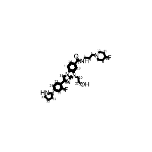 O=C(NCCCN1CCC(F)CC1)c1ccc2c(c1)n(CCO)c1nc(-c3ccc([C@@H]4CCCN4)cc3F)cn21